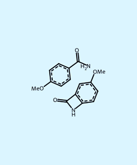 COc1ccc(C(N)=O)cc1.COc1ccc2c(c1)C(=O)N2